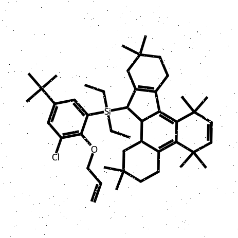 C=CCOc1c(Cl)cc(C(C)(C)C)cc1[Si](CC)(CC)C1C2=C(CCC(C)(C)C2)C2=C3C(=C4CCC(C)(C)CC4C21)C(C)(C)C=CC3(C)C